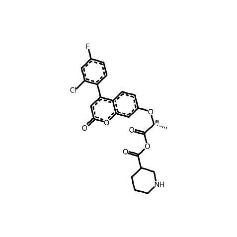 C[C@@H](Oc1ccc2c(-c3ccc(F)cc3Cl)cc(=O)oc2c1)C(=O)OC(=O)C1CCCNC1